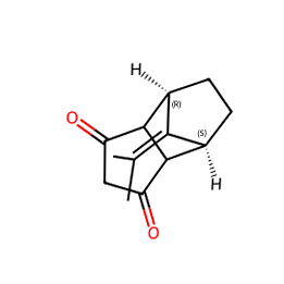 CC(C)=C1[C@H]2CC[C@@H]1C1C(=O)CC(=O)C12